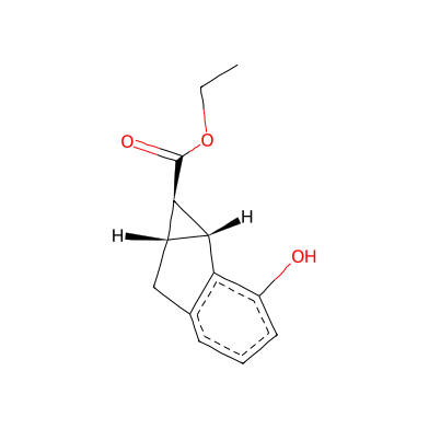 CCOC(=O)[C@@H]1[C@H]2Cc3cccc(O)c3[C@H]21